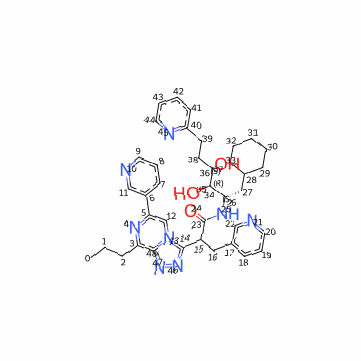 CCCc1nc(-c2cccnc2)cn2c(C(Cc3cccnc3)C(=O)N[C@@H](CC3CCCCC3)[C@@H](O)[C@@H](O)CCc3ccccn3)nnc12